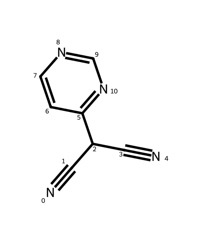 N#CC(C#N)c1ccncn1